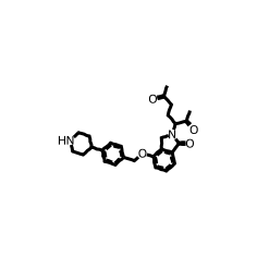 CC(=O)CCC(C(C)=O)N1Cc2c(OCc3ccc(C4CCNCC4)cc3)cccc2C1=O